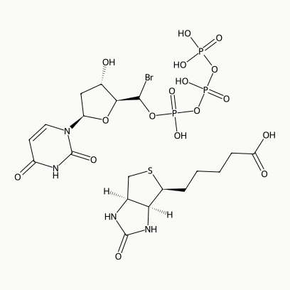 O=C(O)CCCC[C@@H]1SC[C@@H]2NC(=O)N[C@@H]21.O=c1ccn([C@H]2C[C@H](O)[C@@H](C(Br)OP(=O)(O)OP(=O)(O)OP(=O)(O)O)O2)c(=O)[nH]1